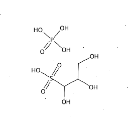 O=P(O)(O)O.O=S(=O)(O)C(O)C(O)CO